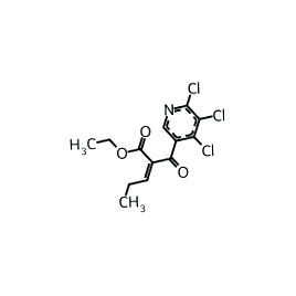 CCC=C(C(=O)OCC)C(=O)c1cnc(Cl)c(Cl)c1Cl